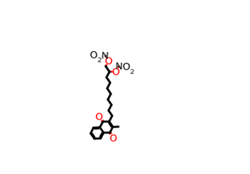 CC1=C(CCCCCCCCC(CO[N+](=O)[O-])O[N+](=O)[O-])C(=O)c2ccccc2C1=O